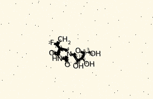 C=C(F)c1cn(C2O[C@H](CO)[C@@H](O)[C@@H]2O)c(=O)[nH]c1=O